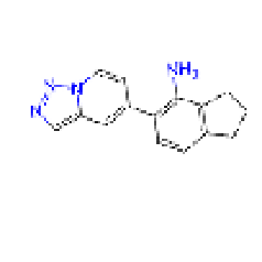 Nc1c(-c2ccn3nncc3c2)ccc2c1CCC2